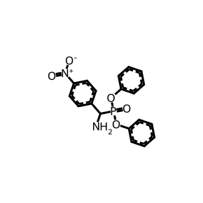 NC(c1ccc([N+](=O)[O-])cc1)P(=O)(Oc1ccccc1)Oc1ccccc1